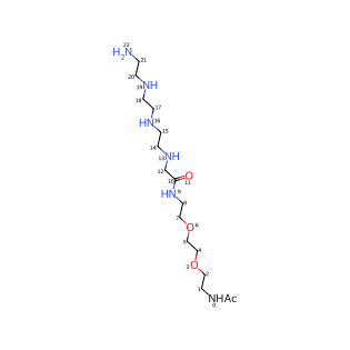 CC(=O)NCCOCCOCCNC(=O)CNCCNCCNCCN